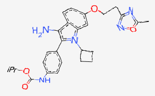 Cc1nc(CCOc2ccc3c(N)c(-c4ccc(NC(=O)OC(C)C)cc4)n(C4CCC4)c3c2)no1